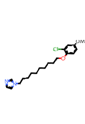 COc1ccc(OCCCCCCCCCCn2ccnc2)c(Cl)c1